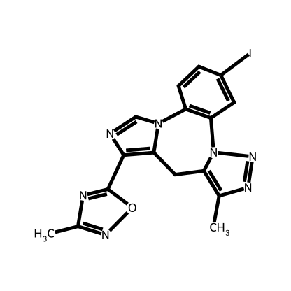 Cc1noc(-c2ncn3c2Cc2c(C)nnn2-c2cc(I)ccc2-3)n1